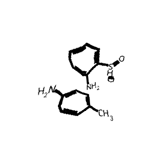 Cc1ccc(N)cc1.Nc1ccccc1[SH](=O)=O